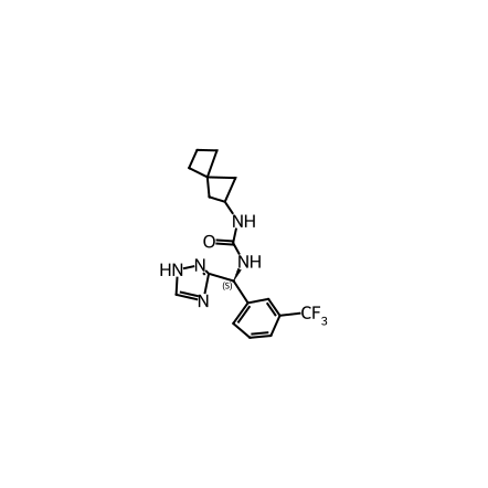 O=C(NC1CC2(CCC2)C1)N[C@@H](c1cccc(C(F)(F)F)c1)c1nc[nH]n1